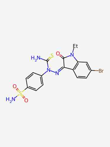 CCN1C(=O)/C(=N\N(C(N)=S)c2ccc(S(N)(=O)=O)cc2)c2ccc(Br)cc21